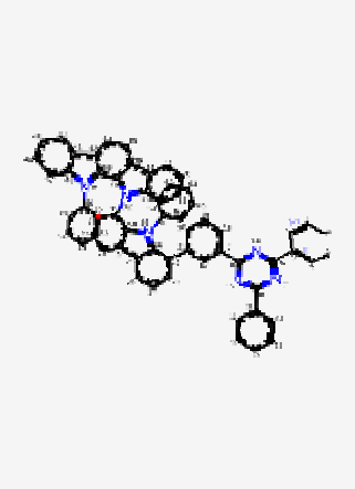 C/C=C\C(=C/C)c1nc(-c2ccccc2)nc(-c2cccc(-c3cccc4c5cccc(-n6c7ccccc7c7ccc8c9ccccc9n(-c9ccccc9)c8c76)c5n(-c5ccccc5)c34)c2)n1